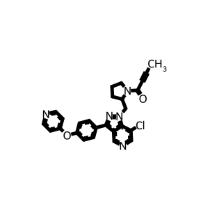 CC#CC(=O)N1CCCC1Cn1nc(-c2ccc(Oc3ccncc3)cc2)c2cncc(Cl)c21